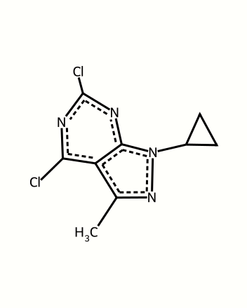 Cc1nn(C2CC2)c2nc(Cl)nc(Cl)c12